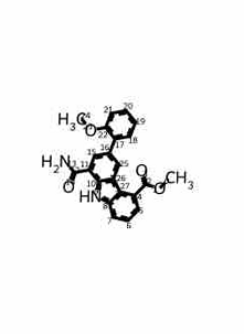 COC(=O)c1cccc2[nH]c3c(C(N)=O)cc(-c4ccccc4OC)cc3c12